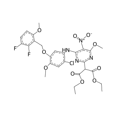 CCOC(=O)C(C(=O)OCC)c1nc(Nc2cc(OCc3c(OC)ccc(F)c3F)c(OC)cc2Cl)c([N+](=O)[O-])c(OC)n1